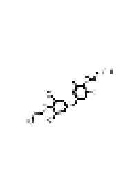 OCCOc1c(Cl)cc(Cc2cc(Cl)c(OCCO)c(Cl)c2)cc1Cl